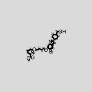 COC(=O)c1cccc(OCCCCOc2cc3nn(C4CCC(CO)CC4)cc3cc2Br)n1